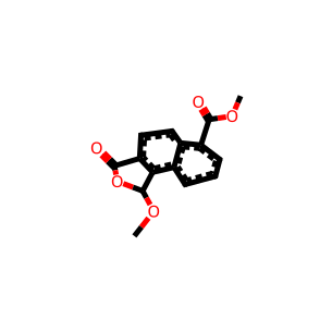 COC(=O)c1cccc2c3c(ccc12)C(=O)OC3OC